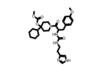 COC(=O)OC1(C2CCCCC2)CCN(C(=O)C(Cc2ccc(OC)cc2)NC(=O)NCCc2c[nH]cn2)CC1